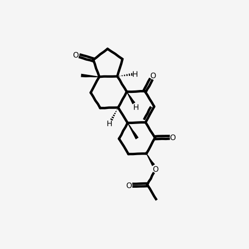 CC(=O)O[C@H]1CC[C@@]2(C)C(=CC(=O)[C@@H]3[C@@H]2CC[C@]2(C)C(=O)CC[C@@H]32)C1=O